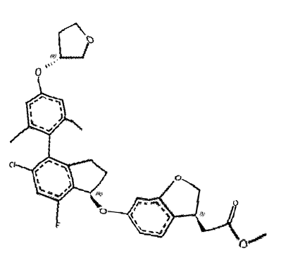 COC(=O)C[C@@H]1COc2cc(O[C@@H]3CCc4c(-c5c(C)cc(O[C@@H]6CCOC6)cc5C)c(Cl)cc(F)c43)ccc21